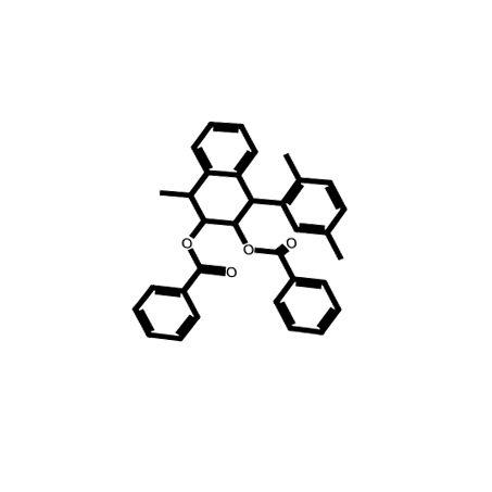 Cc1ccc(C)c(C2c3ccccc3C(C)C(OC(=O)c3ccccc3)C2OC(=O)c2ccccc2)c1